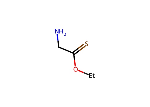 CCOC(=S)CN